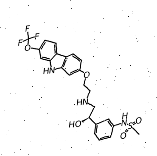 CS(=O)(=O)Nc1cccc([C@@H](O)CNCCOc2ccc3c(c2)[nH]c2cc(OC(F)(F)F)ccc23)c1